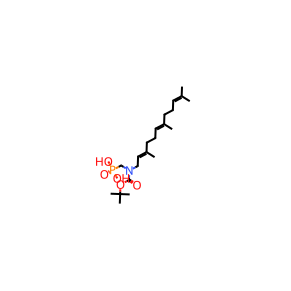 CC(C)=CCC/C(C)=C/CC/C(C)=C/CN(CP(=O)(O)O)C(=O)OC(C)(C)C